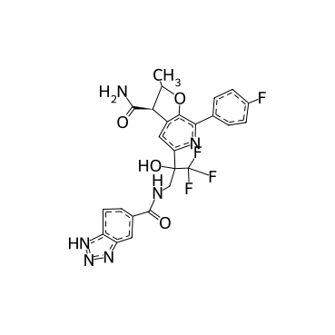 CC1Oc2c(cc(C(O)(CNC(=O)c3ccc4[nH]nnc4c3)C(F)(F)F)nc2-c2ccc(F)cc2)[C@H]1C(N)=O